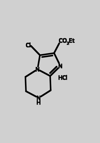 CCOC(=O)c1nc2n(c1Cl)CCNC2.Cl